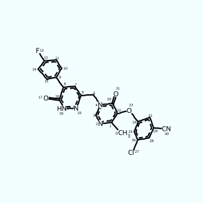 Cc1ncn(Cc2cc(-c3ccc(F)cc3)c(=O)[nH]n2)c(=O)c1Oc1cc(Cl)cc(C#N)c1